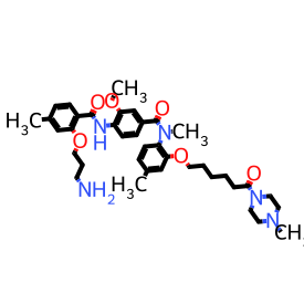 COc1cc(C(=O)N(C)c2ccc(C)cc2OCCCCCC(=O)N2CCN(C)CC2)ccc1NC(=O)c1ccc(C)cc1OCCCN